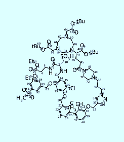 CCOP(=O)(CCNC(=O)[C@H](CS(=O)(=O)O)NCc1cc(Cl)c(OCc2cccc(-c3cccc(OCc4cn(CCCN5CCN(C(=O)CC[C@H](C(=O)OC(C)(C)C)N6CCN(CC(=O)OC(C)(C)C)CCN(CC(=O)OC(C)(C)C)CC6)CC5)nn4)c3C)c2C)cc1OCc1cncc(S(C)(=O)=O)c1)OCC